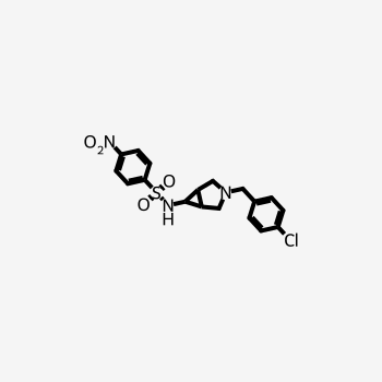 O=[N+]([O-])c1ccc(S(=O)(=O)NC2C3CN(Cc4ccc(Cl)cc4)CC32)cc1